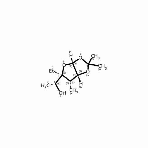 CC[C@]1([C@@H](C)O)O[C@@H]2OC(C)(C)O[C@@H]2[C@@H]1C